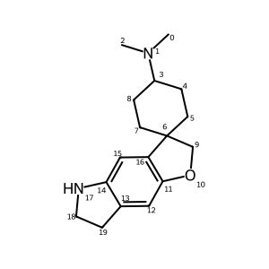 CN(C)C1CCC2(CC1)COc1cc3c(cc12)NCC3